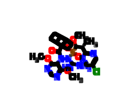 COc1ncnc(OC)c1N(C(=O)C12C3C4C5C3C1C5C42)N(C(=N)N)S(=O)(=O)[C@@H](OC)[C@H](C)c1ncc(Cl)cn1